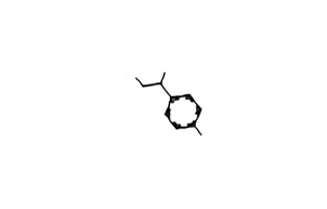 CCC(C)c1ccc([S])cc1